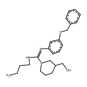 NCCCN/C(=N/c1cccc(OCc2ccccc2)c1)N1CCCC(CO)C1